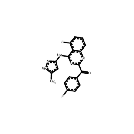 Cc1cc(Nc2nc(C(=O)c3ccc(F)cc3)nc3cccc(F)c23)n[nH]1